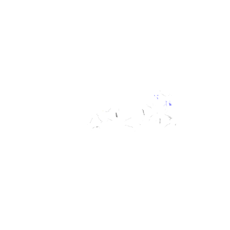 Cc1ccc2sc3ccc(-c4cccc(-c5ccc6c(c5)c5ccccc5c5nccnc65)c4)cc3c2c1